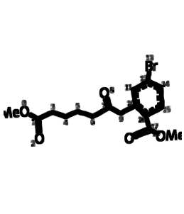 COC(=O)CCCCC(=O)Cc1cc(Br)ccc1C(=O)OC